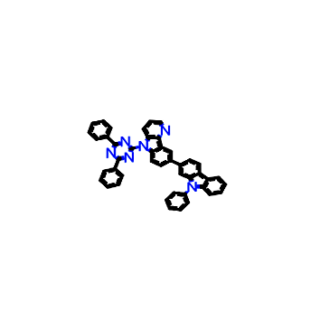 c1ccc(-c2nc(-c3ccccc3)nc(-n3c4ccc(-c5ccc6c7ccccc7n(-c7ccccc7)c6c5)cc4c4ncccc43)n2)cc1